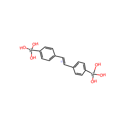 O[Si](O)(O)c1ccc(/C=C/c2ccc([Si](O)(O)O)cc2)cc1